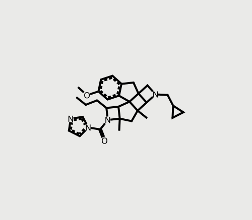 CCCC1C2C(C)(CC3(C)C4N(CC5CC5)CC45Cc4ccc(OC)cc4C235)N1C(=O)n1ccnc1